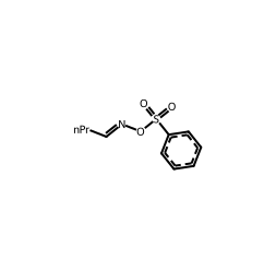 CCCC=NOS(=O)(=O)c1ccccc1